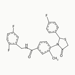 Cc1cc(C(=O)NCc2cc(F)ccc2F)ccc1N1C(=O)CSC1c1ccc(F)cc1